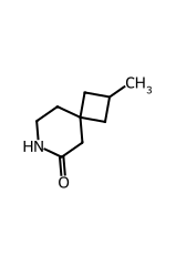 CC1CC2(CCNC(=O)C2)C1